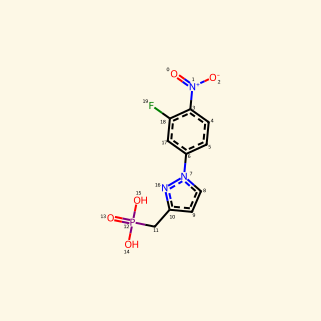 O=[N+]([O-])c1ccc(-n2ccc(CP(=O)(O)O)n2)cc1F